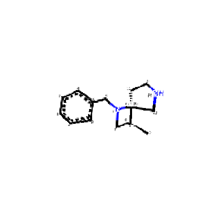 C[C@H]1CN(Cc2ccccc2)[C@]12CCNC2